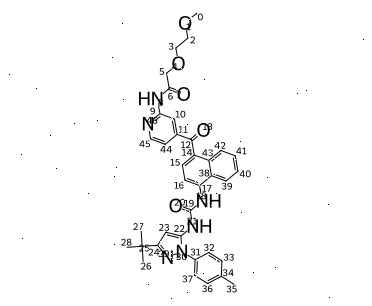 COCCOCC(=O)Nc1cc(C(=O)c2ccc(NC(=O)Nc3cc(C(C)(C)C)nn3-c3ccc(C)cc3)c3ccccc23)ccn1